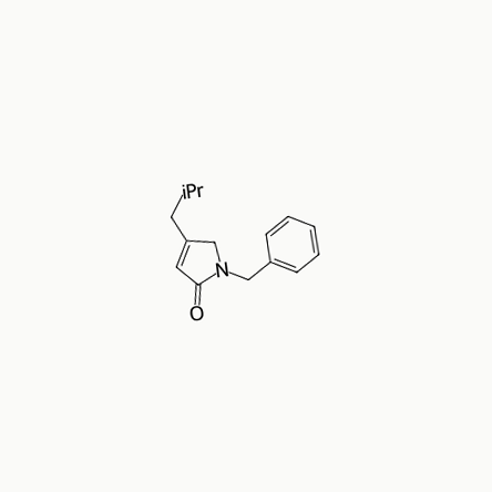 CC(C)CC1=CC(=O)N(Cc2ccccc2)C1